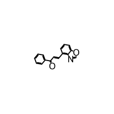 O=C(C=Cc1cccc2ocnc12)c1ccccc1